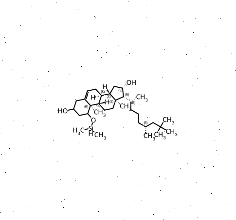 C[C@H](CCC[C@@H](C)[C@H]1[C@@H](O)C[C@H]2[C@@H]3CC=C4CC(O)CC(O[SiH](C)C)[C@]4(C)[C@H]3CC[C@]12C)CC(C)(C)C